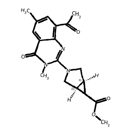 COC(=O)C1[C@H]2CN(c3nc4c(C(C)=O)cc(C)cc4c(=O)n3C)C[C@@H]12